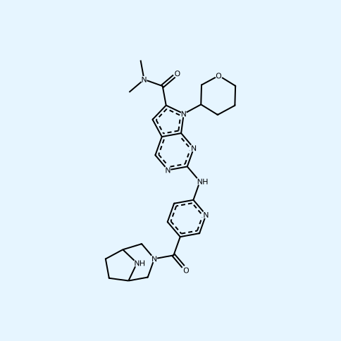 CN(C)C(=O)c1cc2cnc(Nc3ccc(C(=O)N4CC5CCC(C4)N5)cn3)nc2n1C1CCCOC1